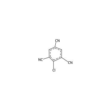 N#Cc1cc(C#N)c(Cl)c(C#N)c1